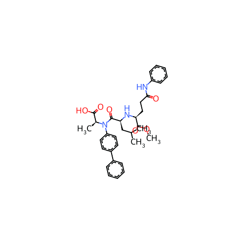 COC(=O)[C@H](CCC(=O)Nc1ccccc1)N[C@@H](CC(C)C)C(=O)N(c1ccc(-c2ccccc2)cc1)[C@@H](C)C(=O)O